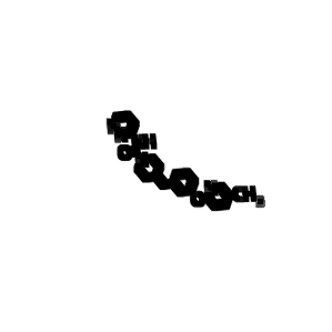 Cc1ccc(Oc2cccc(C=C3CCN(C(=O)Nc4cccnn4)CC3)c2)nc1